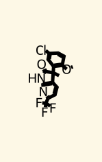 COc1ccc(Cl)cc1C1(C)C(=O)Nc2nc(C(F)(F)F)ccc21